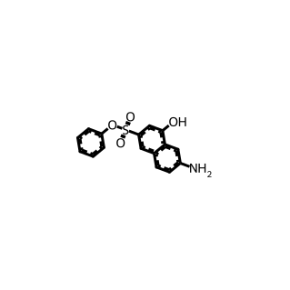 Nc1ccc2cc(S(=O)(=O)Oc3ccccc3)cc(O)c2c1